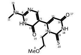 COCCn1c(-c2cnc(N(C)C)[nH]c2=O)cc(=O)[nH]c1=S